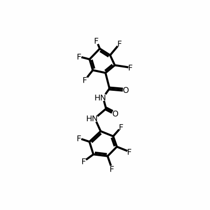 O=C(NC(=O)c1c(F)c(F)c(F)c(F)c1F)Nc1c(F)c(F)c(F)c(F)c1F